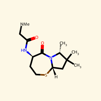 CNCC(=O)N[C@@H]1CCS[C@H]2CC(C)(C)[C@@H](C)N2C1=O